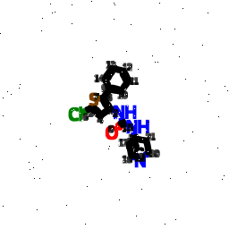 O=C(Nc1cc(Cl)sc1-c1ccccc1)NC12CCN(CC1)CC2